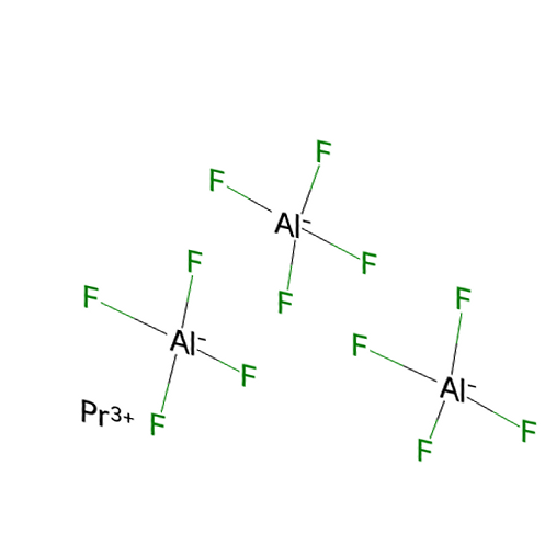 [F][Al-]([F])([F])[F].[F][Al-]([F])([F])[F].[F][Al-]([F])([F])[F].[Pr+3]